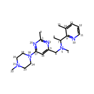 Cc1nc(CN(C)C(C)c2ncccc2C)cc(N2CCN(C)CC2)n1